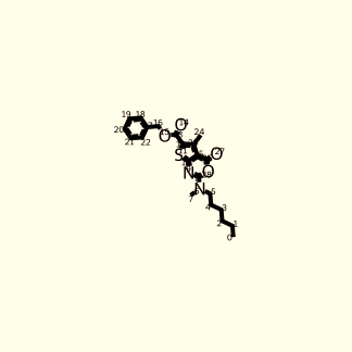 CCCCCCN(C)c1nc2sc(C(=O)OCc3ccccc3)c(C)c2c(=O)o1